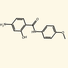 COc1ccc(NC(=O)c2ccc(N)cc2O)cc1